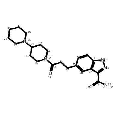 NC(=O)c1n[nH]c2ccc(C[CH]C(=O)N3CCC(N4CCCCC4)CC3)cc12